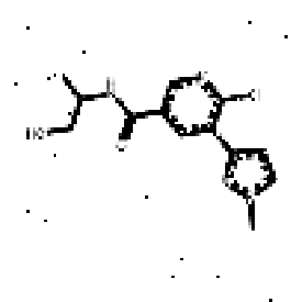 CC(CO)NC(=O)c1cnc(Cl)c(-c2ccn(C)n2)c1